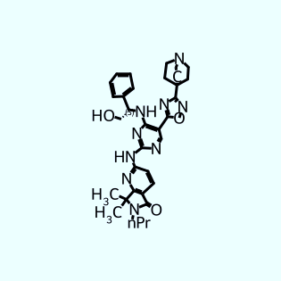 CCCN1C(=O)c2ccc(Nc3ncc(-c4nc(C56CCN(CC5)CC6)no4)c(N[C@H](CO)c4ccccc4)n3)nc2C1(C)C